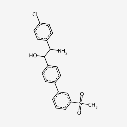 CS(=O)(=O)c1cccc(-c2ccc(C(O)C(N)c3ccc(Cl)cc3)cc2)c1